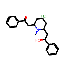 CN1C(CC(=O)c2ccccc2)CCCC1CC(O)c1ccccc1.Cl